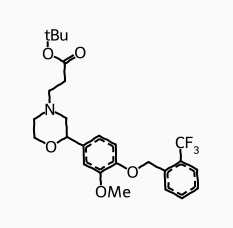 COc1cc(C2CN(CCC(=O)OC(C)(C)C)CCO2)ccc1OCc1ccccc1C(F)(F)F